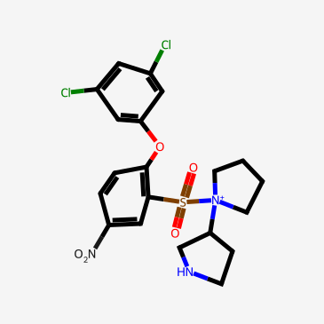 O=[N+]([O-])c1ccc(Oc2cc(Cl)cc(Cl)c2)c(S(=O)(=O)[N+]2(C3CCNC3)CCCC2)c1